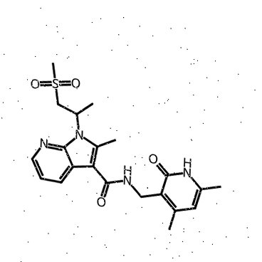 Cc1cc(C)c(CNC(=O)c2c(C)n(C(C)CS(C)(=O)=O)c3ncccc23)c(=O)[nH]1